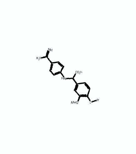 COc1cc(C(Nc2ccc(C(=N)N)cc2)C(=O)O)ccc1OC(C)C